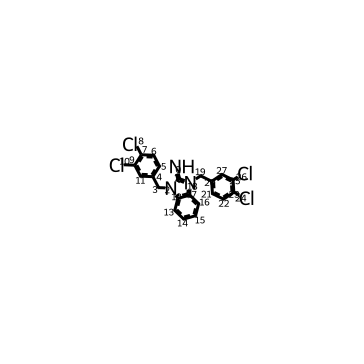 N=c1n(Cc2ccc(Cl)c(Cl)c2)c2ccccc2n1Cc1ccc(Cl)c(Cl)c1